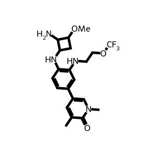 COC1CC(Nc2ccc(-c3cc(C)c(=O)n(C)c3)cc2NCCOC(F)(F)F)C1N